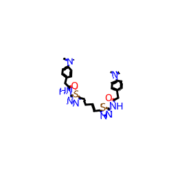 CN(C)c1ccc(CC(=O)Nc2nnc(CCCCc3nnc(NC(=O)Cc4ccc(N(C)C)cc4)s3)s2)cc1